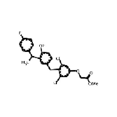 COC(=O)COc1cc(Cl)c(Cc2ccc(O)c(C(C)c3ccc(F)cc3)c2)c(Cl)c1